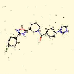 O=C(c1ccc(-n2ccnc2)cc1)N1CCCC(c2nc(-c3ccc(F)cc3)no2)C1